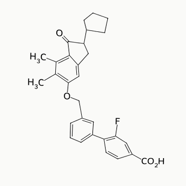 Cc1c(OCc2cccc(-c3ccc(C(=O)O)cc3F)c2)cc2c(c1C)C(=O)C(C1CCCC1)C2